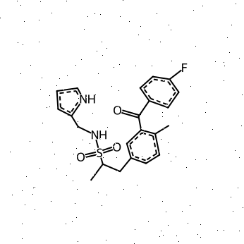 Cc1ccc(CC(C)S(=O)(=O)NCc2ccc[nH]2)cc1C(=O)c1ccc(F)cc1